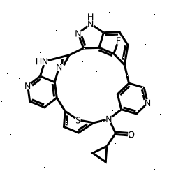 O=C(C1CC1)n1c2cncc(c2)c2ccc3[nH]nc(c4nc5c(nccc5c5ccc1s5)[nH]4)c3c2F